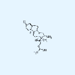 CC(O)OCC(=O)[C@@]1(C)[C@H](C)CC2C3CCC4=CC(=O)CC[C@]4(C)C3=CC[C@@]21C